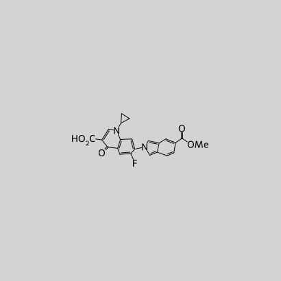 COC(=O)c1ccc2cn(-c3cc4c(cc3F)c(=O)c(C(=O)O)cn4C3CC3)cc2c1